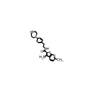 Cc1ccc2c(N)c(C(=O)NCCc3ccc(N4CCCNCC4)cc3)sc2n1